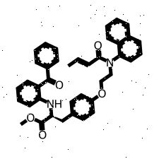 C/C=C/C(=O)N(CCOc1ccc(C[C@H](Nc2ccccc2C(=O)c2ccccc2)C(=O)OC)cc1)c1cccc2ccccc12